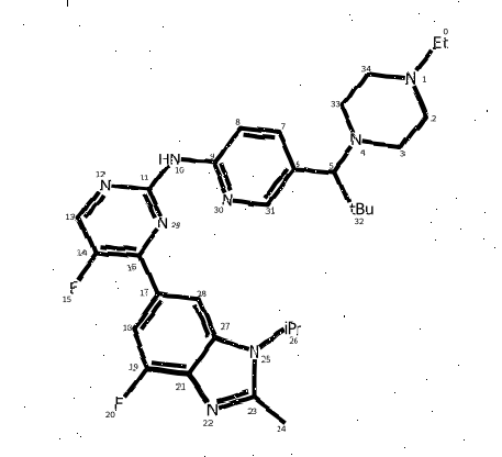 CCN1CCN(C(c2ccc(Nc3ncc(F)c(-c4cc(F)c5nc(C)n(C(C)C)c5c4)n3)nc2)C(C)(C)C)CC1